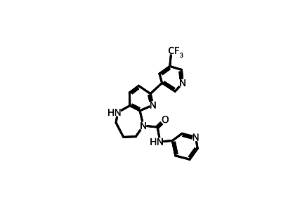 O=C(Nc1cccnc1)N1CCCNc2ccc(-c3cncc(C(F)(F)F)c3)nc21